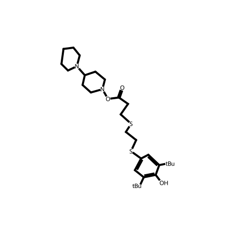 CC(C)(C)c1cc(SCCSCCC(=O)ON2CCC(N3CCCCC3)CC2)cc(C(C)(C)C)c1O